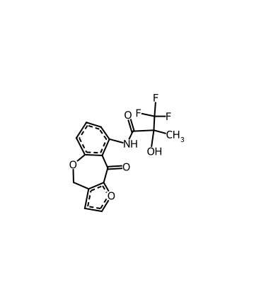 CC(O)(C(=O)Nc1cccc2c1C(=O)c1occc1CO2)C(F)(F)F